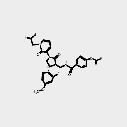 COc1ccc([C@@H]2CN(c3cccn(CC(F)F)c3=O)C(=O)C2CNC(=O)c2ccc(OC(F)F)cc2)c(F)c1